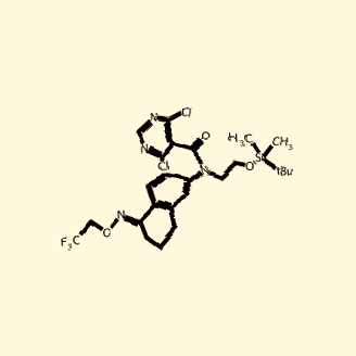 CC(C)(C)[Si](C)(C)OCCN(C(=O)c1c(Cl)ncnc1Cl)c1ccc2c(c1)CCCC2=NOCC(F)(F)F